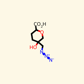 [N-]=[N+]=NCC1(O)CCC(C(=O)O)OC1